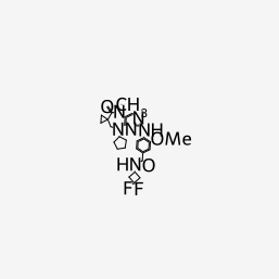 COc1cc(C(=O)NC2CC(F)(F)C2)ccc1Nc1ncc2c(n1)N(C1CCCC1)CC1(CC1)C(=O)N2C